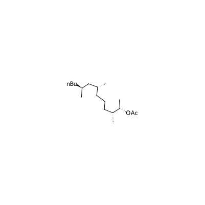 CCCC[C@H](C)C[C@H](C)CCC[C@@H](C)[C@H](C)OC(C)=O